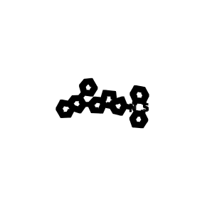 c1ccc(-c2cc3ccccc3cc2-c2ccc3c(ccc4cc(N5c6ccccc6Sc6ccccc65)ccc43)c2)cc1